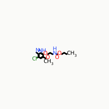 CCCCOC(=O)NCCCOc1c(C(C)=O)cc(Cl)c2cn[nH]c12